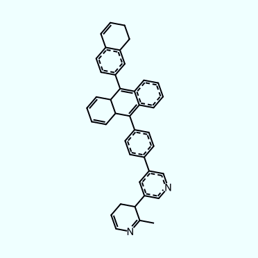 CC1=NC=CCC1c1cncc(-c2ccc(C3=c4ccccc4=C(c4ccc5c(c4)CCC=C5)C4C=CC=CC34)cc2)c1